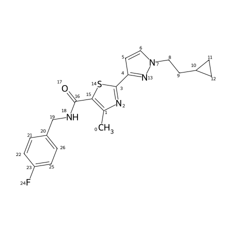 Cc1nc(-c2ccn(CCC3CC3)n2)sc1C(=O)NCc1ccc(F)cc1